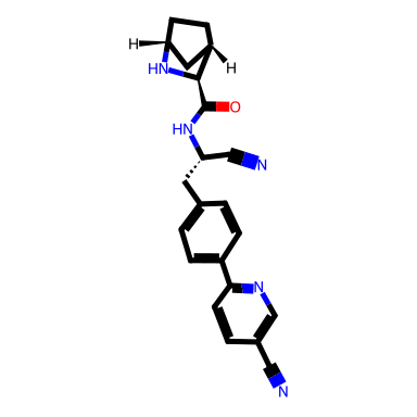 N#Cc1ccc(-c2ccc(C[C@@H](C#N)NC(=O)[C@H]3N[C@@H]4CC[C@H]3C4)cc2)nc1